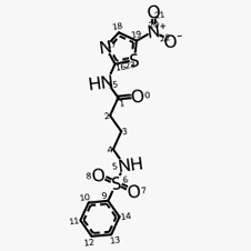 O=C(CCCNS(=O)(=O)c1ccccc1)Nc1ncc([N+](=O)[O-])s1